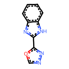 c1ccc2[nH]c(-c3nnco3)nc2c1